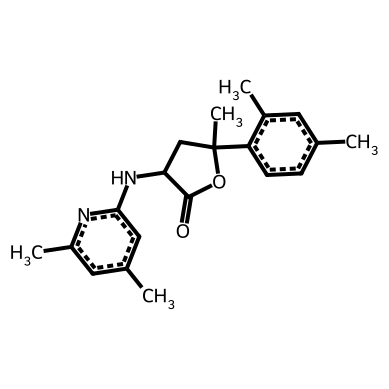 Cc1cc(C)nc(NC2CC(C)(c3ccc(C)cc3C)OC2=O)c1